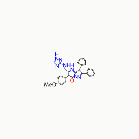 COc1ccc(-c2c(CNc3nc[nH]n3)[nH]c3c(-c4ccccc4)c(-c4ccccc4)nn3c2=O)cc1